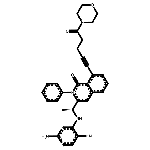 C[C@H](Nc1nc(N)ncc1C#N)c1cc2cccc(C#CCCC(=O)N3CCOCC3)c2c(=O)n1-c1ccccc1